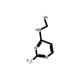 CC(C)CNc1ccnc(C(F)(F)F)n1